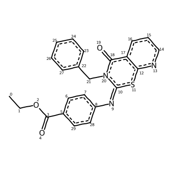 CCOC(=O)c1ccc(N=c2sc3ncccc3c(=O)n2Cc2ccccc2)cc1